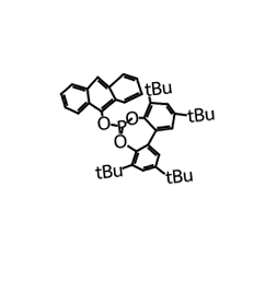 CC(C)(C)c1cc(C(C)(C)C)c2op(Oc3c4ccccc4cc4ccccc34)oc3c(C(C)(C)C)cc(C(C)(C)C)cc3c2c1